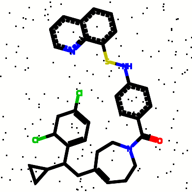 O=C(c1ccc(NSc2cccc3cccnc23)cc1)N1CCC=C(CC(C2=CC=C(Cl)CC2Cl)C2CC2)CC1